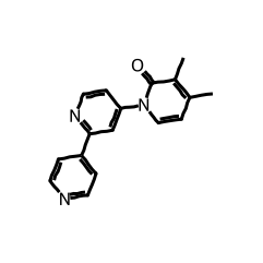 Cc1ccn(-c2ccnc(-c3ccncc3)c2)c(=O)c1C